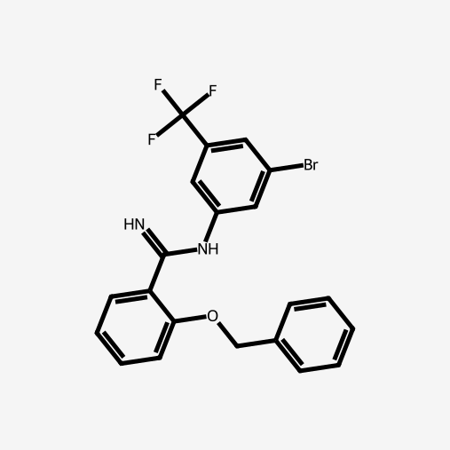 N=C(Nc1cc(Br)cc(C(F)(F)F)c1)c1ccccc1OCc1ccccc1